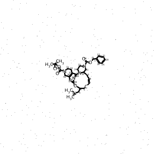 CN(C)CC1CC/C=C\CC2CN(C(=O)OCc3ccccc3)CCN2c2nc(nc3c2CCN(C(=O)OC(C)(C)C)C3)O1